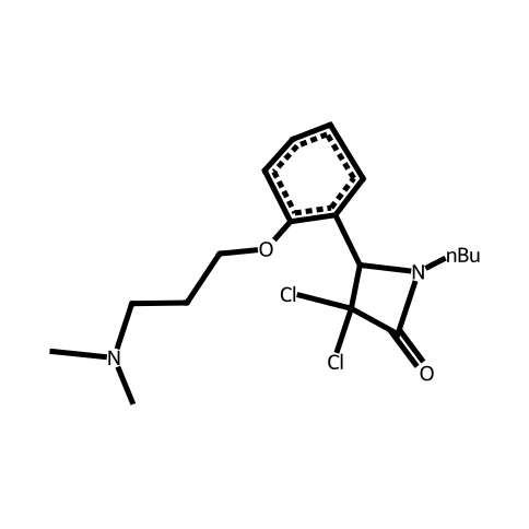 CCCCN1C(=O)C(Cl)(Cl)C1c1ccccc1OCCCN(C)C